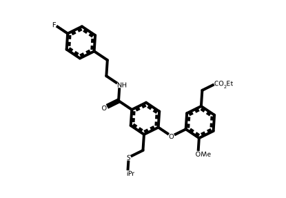 CCOC(=O)Cc1ccc(OC)c(Oc2ccc(C(=O)NCCc3ccc(F)cc3)cc2CSC(C)C)c1